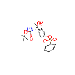 CC(C)(C)OC(=O)NCC(C)(O)c1ccc(OS(=O)(=O)c2ccccc2)cc1